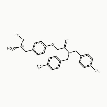 CCO[C@@H](Cc1ccc(OCC(=O)N(Cc2ccc(C(F)(F)F)cc2)Cc2ccc(C(F)(F)F)cc2)cc1)C(=O)O